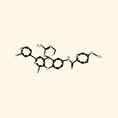 COc1ccc(C(=O)Nc2ccc3c(c2)[C@@]2(CCN=C(N)S2)c2cc(-c4ccnc(F)c4)nc(F)c2O3)nc1